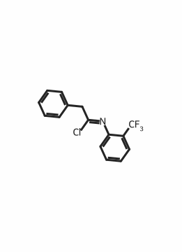 FC(F)(F)c1ccccc1/N=C(\Cl)Cc1ccccc1